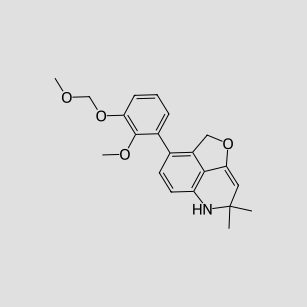 COCOc1cccc(-c2ccc3c4c2COC4=CC(C)(C)N3)c1OC